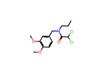 CCCN(Cc1ccc(OC)c(OC)c1)C(=O)C(Cl)Cl